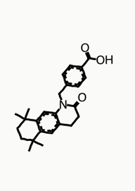 CC1(C)CCC(C)(C)c2cc3c(cc21)CCC(=O)N3Cc1ccc(C(=O)O)cc1